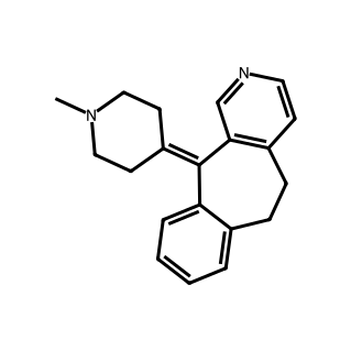 CN1CCC(=C2c3ccccc3CCc3ccncc32)CC1